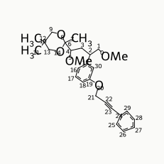 COCC(CC(OC)C1(C)OCC(C)(C)CO1)c1cccc(OCC#Cc2ccccc2)c1